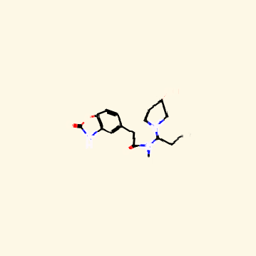 CC(C)CC(N1CC[C@H](O)C1)N(C)C(=O)Cc1ccc2oc(=O)[nH]c2c1